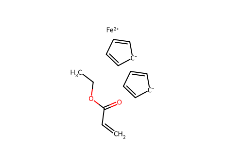 C=CC(=O)OCC.[Fe+2].c1cc[cH-]c1.c1cc[cH-]c1